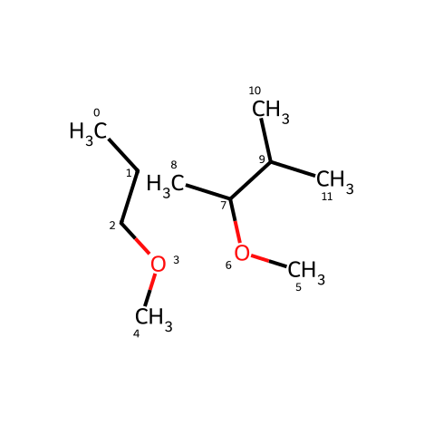 CCCOC.COC(C)C(C)C